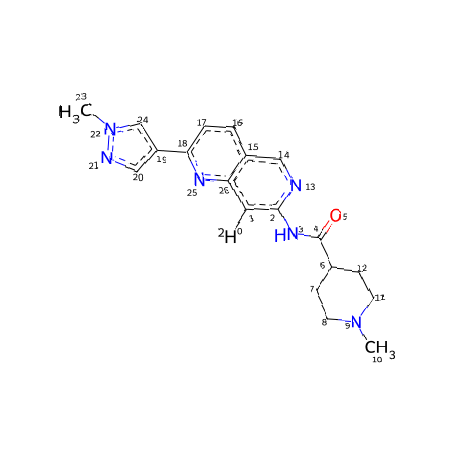 [2H]c1c(NC(=O)C2CCN(C)CC2)ncc2ccc(-c3cnn(C)c3)nc12